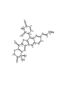 CC[C@@]1(O)C(=O)OCc2c1cc1n(c2=O)Cc2c-1nc1ccc(C=NOC)cc1c2-n1ccc(=O)[nH]c1=O